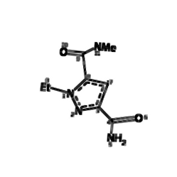 CCn1nc(C(N)=O)[c]c1C(=O)NC